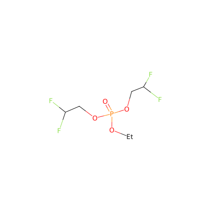 CCOP(=O)(OCC(F)F)OCC(F)F